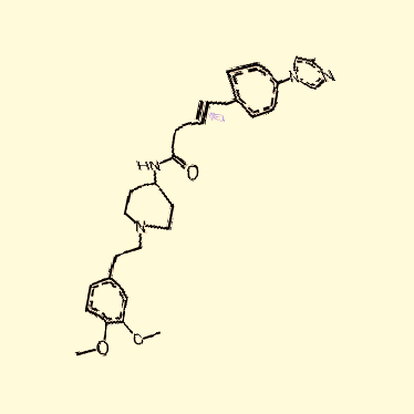 COc1ccc(CCN2CCC(NC(=O)C/C=C/c3ccc(-n4ccnc4)cc3)CC2)cc1OC